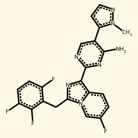 Cn1nccc1-c1cnc(-c2nc(Cc3c(F)ccc(F)c3F)n3cc(F)ccc23)nc1N